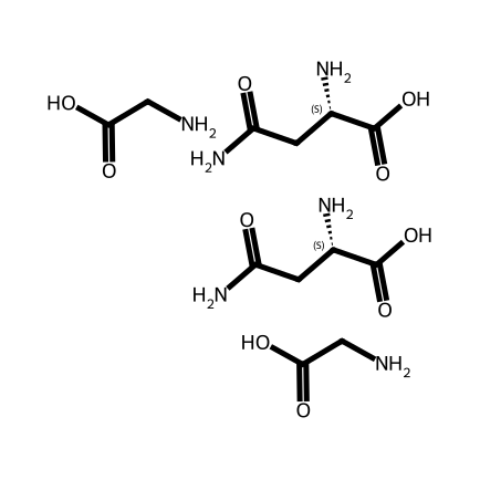 NC(=O)C[C@H](N)C(=O)O.NC(=O)C[C@H](N)C(=O)O.NCC(=O)O.NCC(=O)O